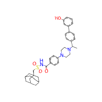 CC(c1ccc(-c2cccc(O)c2)cc1)N1CCN(c2ccc(C(=O)NS(=O)(=O)CC34CC5CC(CC(C5)C3)C4)cc2)CC1